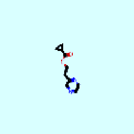 O=C(OCCc1cnccn1)C1CC1